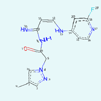 Cc1cnn(CC(=O)NC(=N)/C=C\Nc2ccnc(F)c2)c1